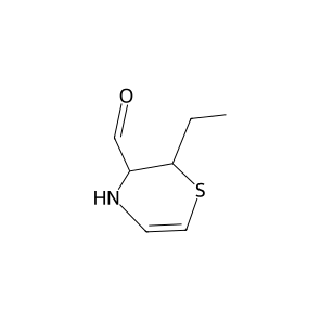 CCC1SC=CNC1C=O